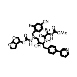 COC(=O)NC(C(=O)NC(Cc1ccc(-c2cccnc2)cc1)C(O)CN(Cc1ccc(C#N)cc1F)NC(=O)OC1COC2OCCC12)C(C)(C)C